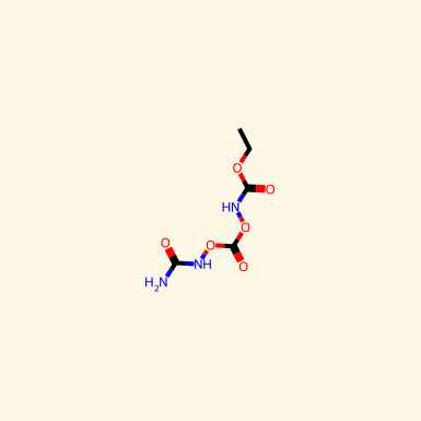 CCOC(=O)NOC(=O)ONC(N)=O